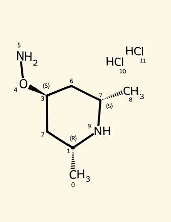 C[C@@H]1C[C@@H](ON)C[C@H](C)N1.Cl.Cl